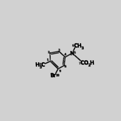 Cc1ccc(N(C)C(=O)O)cc1Br